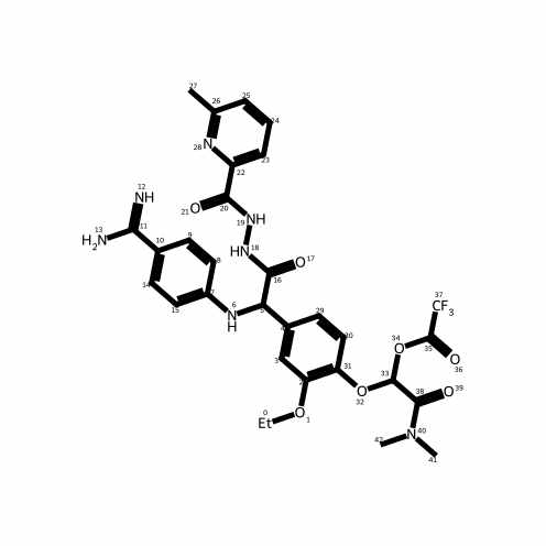 CCOc1cc(C(Nc2ccc(C(=N)N)cc2)C(=O)NNC(=O)c2cccc(C)n2)ccc1OC(OC(=O)C(F)(F)F)C(=O)N(C)C